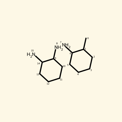 CC1CCCCC1N.NC1CCCCC1N